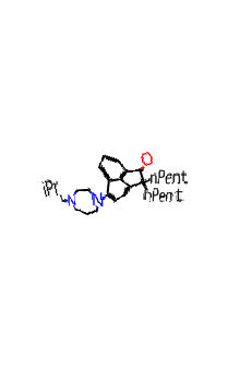 CCCCCC1(CCCCC)C(=O)c2cccc3c(N4CCCN(CC(C)C)CC4)ccc1c23